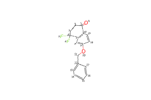 O=C1CCC(F)(F)c2cc(OCc3ccccc3)ccc21